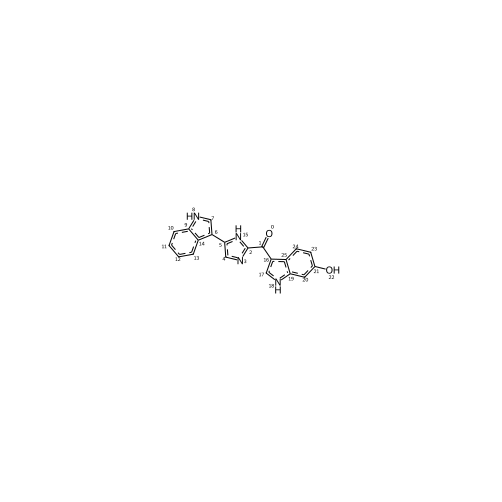 O=C(c1ncc(-c2c[nH]c3ccccc23)[nH]1)c1c[nH]c2cc(O)ccc12